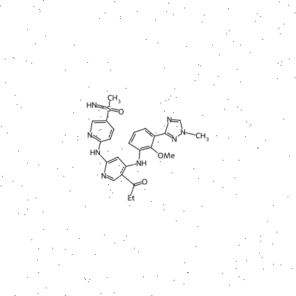 CCC(=O)c1cnc(Nc2ccc(S(C)(=N)=O)cn2)cc1Nc1cccc(-c2ncn(C)n2)c1OC